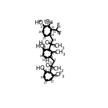 Cc1c(CC(C)(C)c2c(O)cccc2C(F)(F)F)ccc(O)c1C(C)(C)Cc1ccc(O)c(C(C)(C)C)c1C(F)F